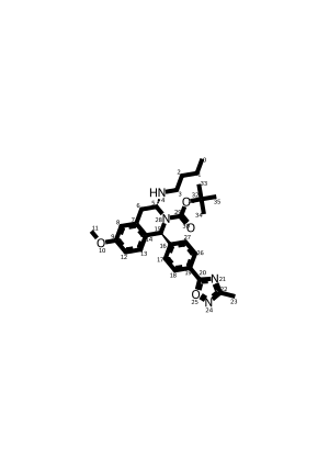 CCCCN[C@H]1Cc2cc(OC)ccc2[C@H](c2ccc(-c3nc(C)no3)cc2)N1C(=O)OC(C)(C)C